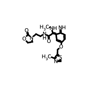 CN/C(C(=O)NCCN1CCOC1=O)=C1/C=C(OCc2scnc2C)C=CC1=N